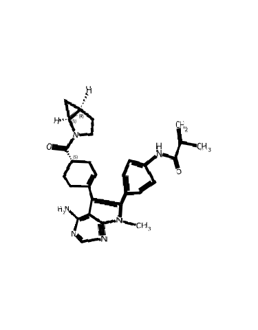 C=C(C)C(=O)Nc1ccc(-c2c(C3=CC[C@@H](C(=O)N4CC[C@@H]5C[C@@H]54)CC3)c3c(N)ncnc3n2C)cc1